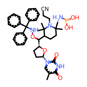 Cc1cn([C@H]2CC[C@@H](C(ONC(c3ccccc3)(c3ccccc3)c3ccccc3)C3CCC(C)(C)N(CCC#N)C3(C)C)O2)c(=O)[nH]c1=O.NP(O)O